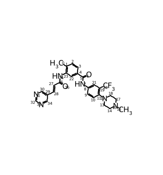 Cc1ccc(C(=O)Nc2ccc(N3CCN(C)CC3)c(C(F)(F)F)c2)cc1NC(=O)/C=C/c1cncnc1